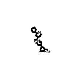 CNCc1cc(F)cc(-c2ccn3c(-c4ccnc(-c5ccccc5)c4)cnc3c2)c1